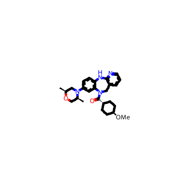 CO[C@H]1CC[C@H](C(=O)N2Cc3cccnc3Nc3ccc(N4C[C@H](C)OC[C@@H]4C)cc32)CC1